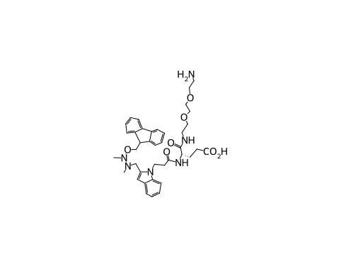 CN(Cc1cc2ccccc2n1CCC(=O)N[C@@H](CCC(=O)O)C(=O)NCCOCCOCCN)N(C)OCC1c2ccccc2-c2ccccc21